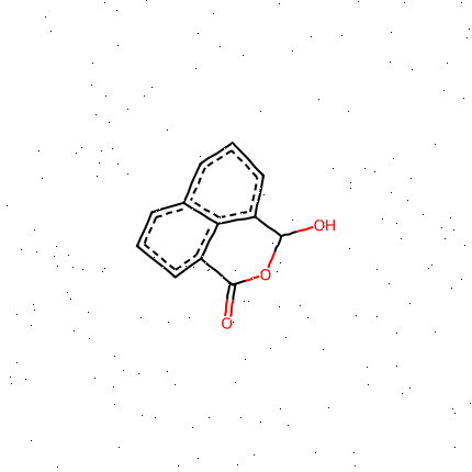 O=C1OC(O)c2cccc3cccc1c23